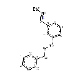 CC/N=C/c1cccc(OCCc2ccccc2)c1